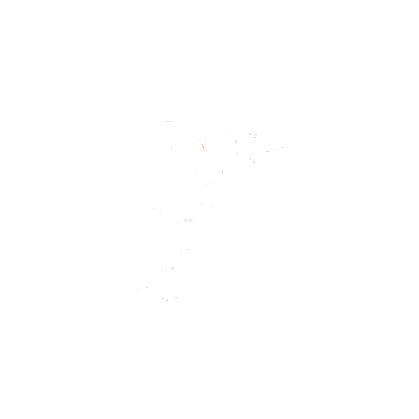 Cc1cc(-c2ccc(S(=O)(=O)C3C[C@@H](OC4CCCC4)[C@H](C(=O)NC4(C#N)CC4)C3)c(C(F)(F)F)c2)ccn1